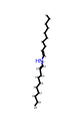 CCCCCCCCC=CNC=CCCCCCCCC